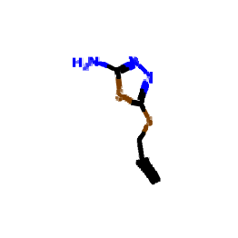 C#CCSc1nnc(N)s1